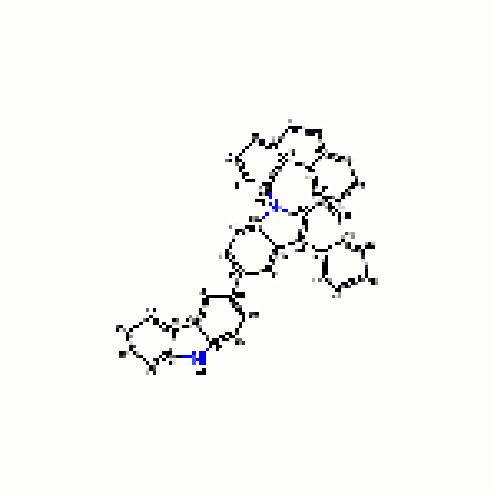 c1ccc2c(c1)ccc1cccc(-n3c4ccc(-c5ccc6[nH]c7ccccc7c6c5)cc4c4c5ccccc5ccc43)c12